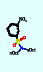 CCCCCCCCN(CCCCCCCC)S(=O)(=O)c1[c]ccc([N+](=O)[O-])c1